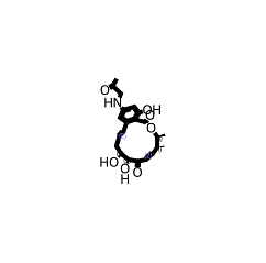 CC(=O)CNc1cc(O)c2c(c1)/C=C/C[C@H](O)[C@H](O)C(=O)/C=C\[C@@H](C)[C@H](C)OC2=O